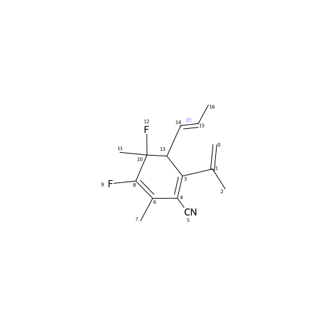 C=C(C)C1=C(C#N)C(C)=C(F)C(C)(F)C1/C=C/C